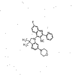 [C-]#[N+]c1c(-c2ccccn2)nc2cc(F)ccc2c1N1CC(C)(C)c2ncc(N3CCOCC3)cc21